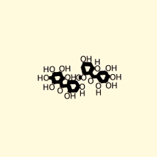 O=C(c1cc(O)c(O)c(O)c1O)c1c(O)cc(O)cc1OOc1cc(C(=O)c2c(O)c(O)c(O)c(O)c2O)c(O)cc1O